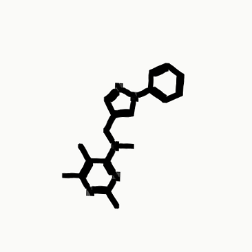 Cc1nc(C)c(C)c(N(C)Cc2cnn(-c3ccccc3)c2)n1